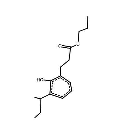 CCCOC(=O)CCc1cccc(C(C)CC)c1O